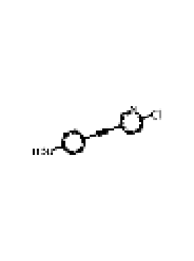 CCCCc1ccc(C#Cc2ccc(Cl)nc2)cc1